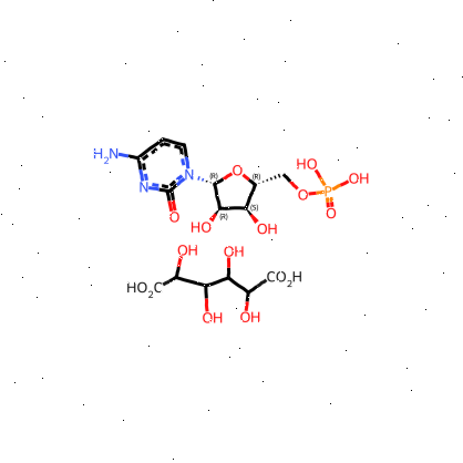 Nc1ccn([C@@H]2O[C@H](COP(=O)(O)O)[C@@H](O)[C@H]2O)c(=O)n1.O=C(O)C(O)C(O)C(O)C(O)C(=O)O